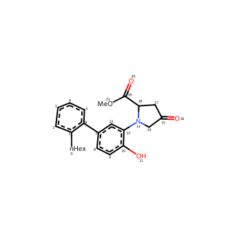 CCCCCCc1ccccc1-c1ccc(O)c(N2CC(=O)CC2C(=O)OC)c1